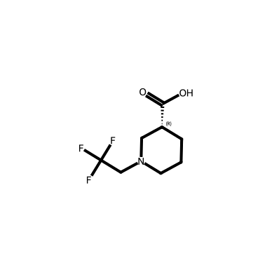 O=C(O)[C@@H]1CCCN(CC(F)(F)F)C1